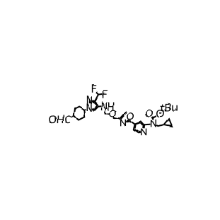 CC(C)(C)OC(=O)N(CC1CC1)c1cc(-c2nc(COCNc3cn([C@H]4CC[C@H](C=O)CC4)nc3C(F)F)co2)ccn1